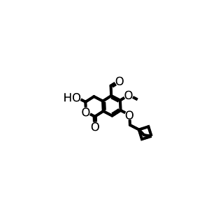 COc1c(OCC23CC(C2)C3)cc2c(c1C=O)CC(O)OC2=O